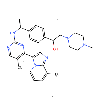 CCc1cccn2c(-c3nc(N[C@@H](C)c4ccc(C(O)CN5CCN(C)CC5)cc4)ncc3C#N)cnc12